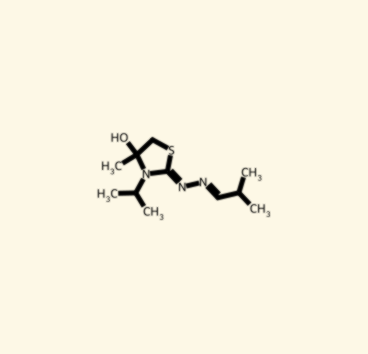 CC(C)/C=N/N=C1\SCC(C)(O)N1C(C)C